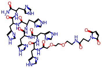 NC(=O)C(Cc1c[nH]cn1)NC(=O)C(Cc1c[nH]cn1)NC(=O)C(Cc1c[nH]cn1)NC(=O)C(Cc1c[nH]cn1)NC(=O)C(Cc1c[nH]cn1)NC(=O)C(Cc1c[nH]cn1)NC(=O)COCCOCCNC(=O)CCN1C(=O)C=CC1=O